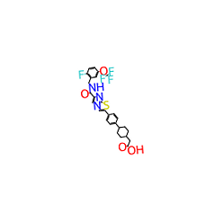 O=C(O)CC1CCC(c2ccc(-c3cn4cc(C(=O)NCc5cc(OC(F)(F)F)ccc5F)nc4s3)cc2)CC1